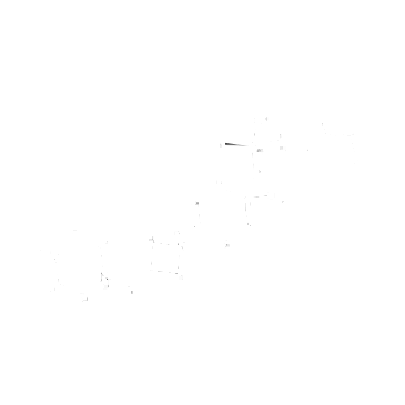 CC(C)=CC[C@H]1O[C@@]1(C)C1OC12CCC(N1CC(CN3CCOCC3)C1)CC2